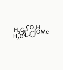 COc1ccc(CN(C)[C@H](C)CC(=O)O)cc1